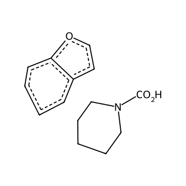 O=C(O)N1CCCCC1.c1ccc2occc2c1